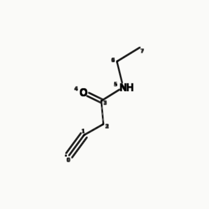 [C]#CCC(=O)NCC